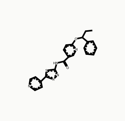 CCC(Oc1ccc(C(=O)Nc2nnc(-c3ccncc3)s2)cn1)c1ccccc1